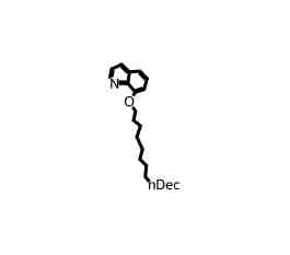 CCCCCCCCCCCCCCCCCCOc1cccc2cccnc12